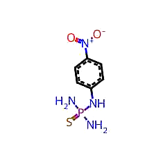 NP(N)(=S)Nc1ccc([N+](=O)[O-])cc1